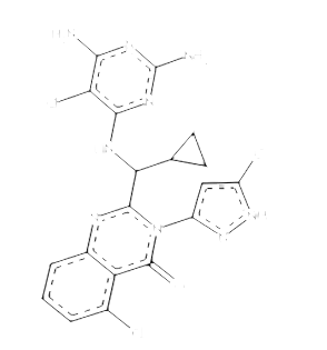 Nc1nc(N)c(Cl)c(NC(c2nc3cccc(Cl)c3c(=O)n2-c2cc(Cl)[nH]n2)C2CC2)n1